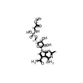 Cc1nc(N)c2c(C(N)=O)cn([C@@H]3O[C@H](COP(=O)(O)NCC(=O)OC(C)C)[C@@H](O)[C@H]3O)c2n1